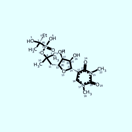 CC[C@](C)(O)P(=O)(O)OC(C)(C)C[C@H]1O[C@@H](c2cn(C)c(=O)n(C)c2=O)[C@H](O)[C@@H]1O